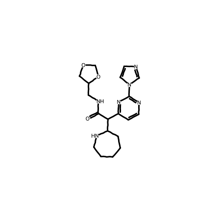 O=C(NCC1COCO1)C(c1ccnc(-n2ccnc2)n1)C1CCCCCN1